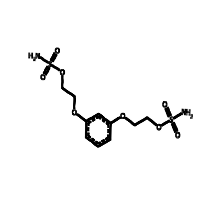 NS(=O)(=O)OCCOc1cccc(OCCOS(N)(=O)=O)c1